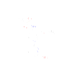 COCC1CN(c2cccc(O)n2)CCC1NS(C)(=O)=O